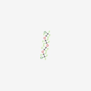 FC(F)(Cl)C(F)(F)OC(F)(F)C(F)(F)OC(F)(F)C(F)(F)OC(F)(F)C(F)(F)Cl